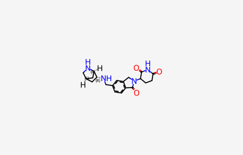 O=C1CCC(N2Cc3cc(CN[C@@H]4C[C@H]5CN[C@@H]4C5)ccc3C2=O)C(=O)N1